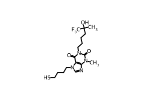 Cn1c(=O)n(CCCCC(C)(O)C(F)(F)F)c(=O)c2c1ncn2CCCCS